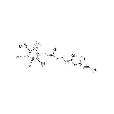 C/C=C/[C@@H](O)C/C(S)=C/CC/C(S)=C/C[C@@H]1[C@@H](S)C(=O)C(OC)=C(OC)[C@@H]1OC(C)=O